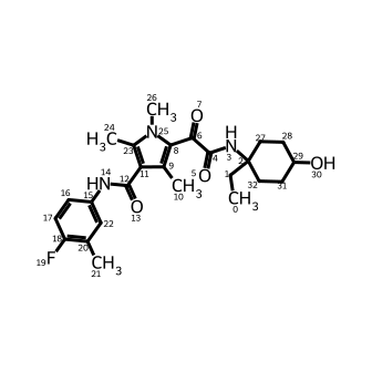 CCC1(NC(=O)C(=O)c2c(C)c(C(=O)Nc3ccc(F)c(C)c3)c(C)n2C)CCC(O)CC1